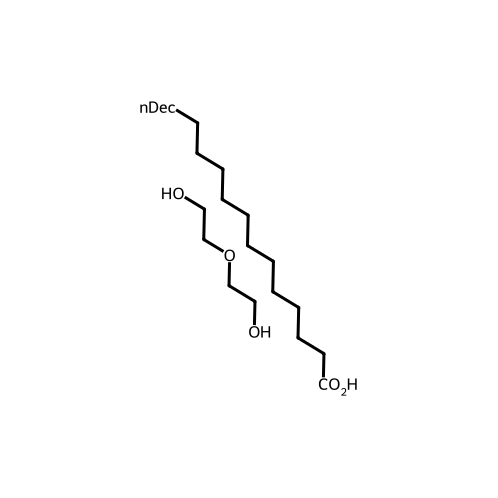 CCCCCCCCCCCCCCCCCCCCCC(=O)O.OCCOCCO